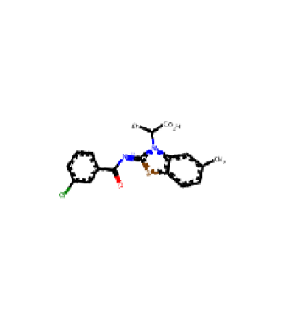 CCC(C(=O)O)n1/c(=N/C(=O)c2cccc(Cl)c2)sc2ccc(C)cc21